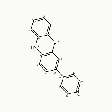 c1ccc2c(c1)Nc1ccc(-c3ccncc3)cc1O2